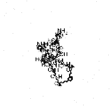 CC(C)(COP(=O)(O)OP(=O)(O)OCC1OC(n2cnc3c(N)ncnc32)C(O)C1OP(=O)(O)O)C(O)C(=O)NCCC(=O)NCCC(=O)C1(CCCCc2cccc(CCCCC3(C(=O)CCNC(=O)CCNC(=O)C(O)C(C)(C)COP(=O)(O)OP(=O)(O)OCC4OC(n5cnc6c(N)ncnc65)C(O)C4OP(=O)(O)O)CC3)c2)CC1